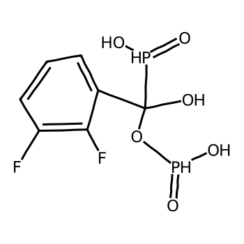 O=[PH](O)OC(O)(c1cccc(F)c1F)[PH](=O)O